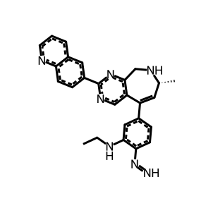 CCNc1cc(C2=C[C@@H](C)NCc3nc(-c4ccc5ncccc5c4)ncc32)ccc1N=N